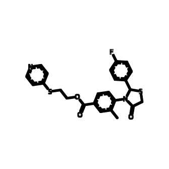 Cc1cc(C(=O)OCCSc2ccncc2)ccc1N1C(=O)CSC1c1ccc(F)cc1